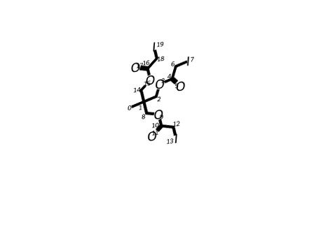 CC(COC(=O)CI)(COC(=O)CI)COC(=O)CI